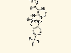 COC(=O)c1nccnc1NS(=O)(=O)Cc1cc(C(F)(F)F)ccc1Br